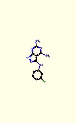 Nc1nc(N)c2c(Nc3cccc(Cl)c3)n[nH]c2n1